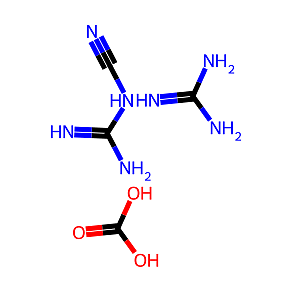 N#CNC(=N)N.N=C(N)N.O=C(O)O